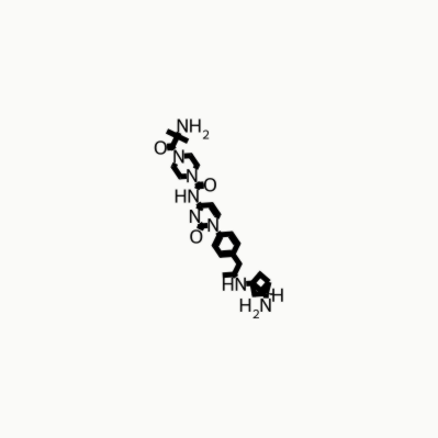 CC(Cc1ccc(-n2ccc(NC(=O)N3CCN(C(=O)C(C)(C)N)CC3)nc2=O)cc1)NC12CC(C1)[C@@H](N)C2